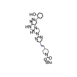 CC(C)(C)OC(=O)N1CCC(/C=C/c2cnc(N3CCN4c5cc(-c6ccccc6O)nnc5NC[C@H]4C3)nc2)CC1